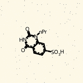 CCCn1c(=O)[nH]c(=O)c2ccc(S(=O)(=O)O)cc21